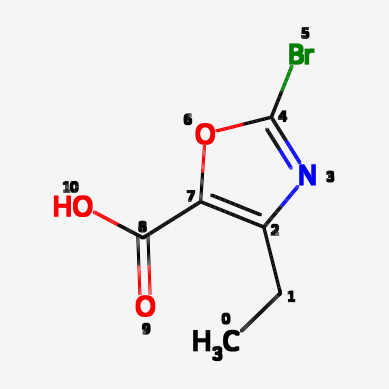 CCc1nc(Br)oc1C(=O)O